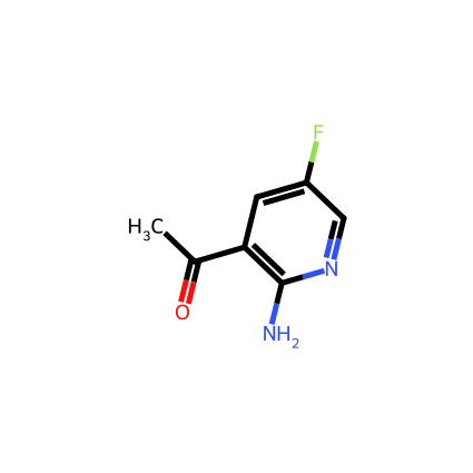 CC(=O)c1cc(F)cnc1N